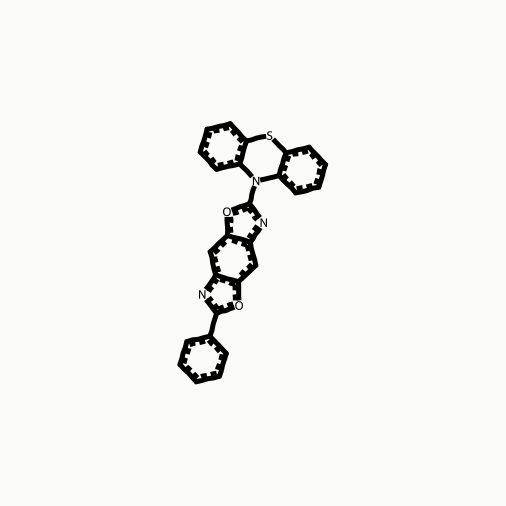 c1ccc(-c2nc3cc4oc(N5c6ccccc6Sc6ccccc65)nc4cc3o2)cc1